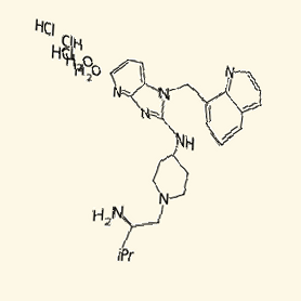 CC(C)C(N)CN1CCC(Nc2nc3ncccc3n2Cc2cccc3cccnc23)CC1.Cl.Cl.Cl.O.O